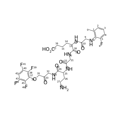 Cc1cccc(F)c1NCC(=O)NC(CCCC(=O)O)C(=O)NCC(=O)NC(CCN)C(=O)NCC(=O)COc1c(F)c(F)cc(F)c1F